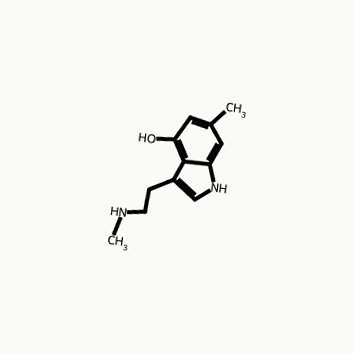 CNCCc1c[nH]c2cc(C)cc(O)c12